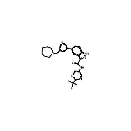 O=C(Nc1cnc(C(F)(F)F)nc1)c1n[nH]c2ccc(-c3cncc(CN4CCCCCC4)c3)cc12